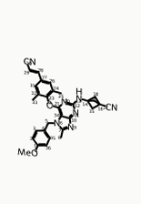 COc1ccc(Cn2c(C)nc3nc(NC45CC(C#N)(C4)C5)nc(Oc4c(C)cc(/C=C/C#N)cc4C)c32)cc1